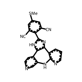 CSc1cc(C#N)c(-c2nc3c([nH]2)-c2ccncc2Nc2ncccc2-3)c(C#N)c1